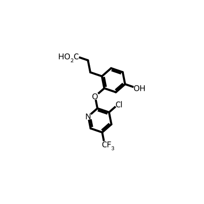 O=C(O)CCc1ccc(O)cc1Oc1ncc(C(F)(F)F)cc1Cl